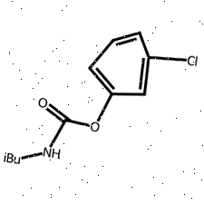 CCC(C)NC(=O)Oc1cccc(Cl)c1